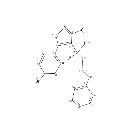 Cc1noc(-c2ccc(Br)cc2)c1C(F)(F)CCCc1ccccc1